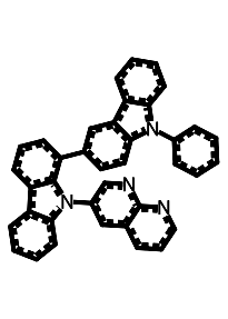 c1ccc(-n2c3ccccc3c3cc(-c4cccc5c6ccccc6n(-c6cnc7ncccc7c6)c45)ccc32)cc1